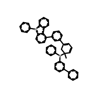 CC1(N(c2ccccc2)c2cccc(-c3ccccc3)c2)C=CC=C(c2cccc(-c3cccc4c3c3ccccc3n4-c3ccccc3)c2)C1